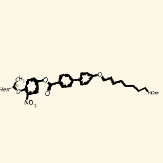 CCCCCCCCCCCCCCCCCCOc1ccc(-c2ccc(C(=O)Oc3ccc(O[C@@H](C)CCCCCC)c([N+](=O)[O-])c3)cc2)cc1